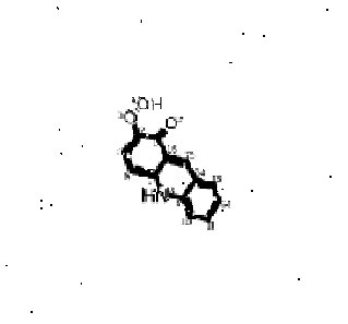 O=c1c(OO)ccc2[nH]c3ccccc3cc1-2